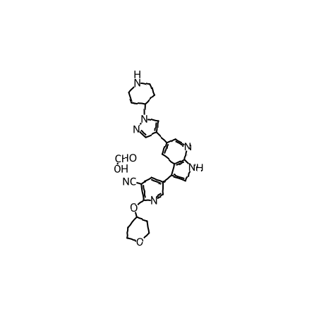 N#Cc1cc(-c2c[nH]c3ncc(-c4cnn(C5CCNCC5)c4)cc23)cnc1OC1CCOCC1.O=CO